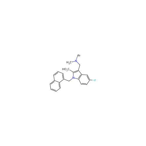 CC(C)N(C)Cc1c(C(=O)O)n(Cc2cccc3ccccc23)c2ccc(F)cc12